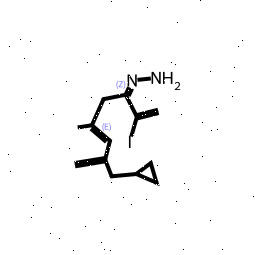 C=C(/C=C(\C)C/C(=N/N)C(=C)I)CC1CC1